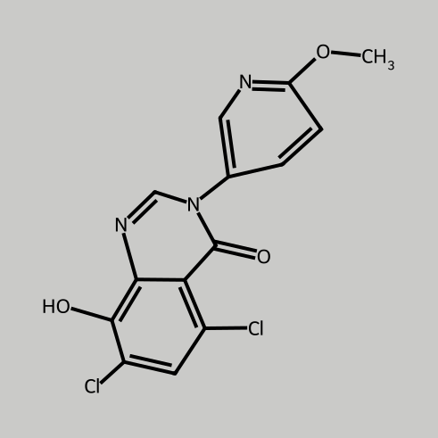 COc1ccc(-n2cnc3c(O)c(Cl)cc(Cl)c3c2=O)cn1